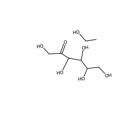 CCO.O=C(CO)C(O)C(O)C(O)CO